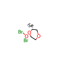 BrOBr.C1COCCO1.[Se]